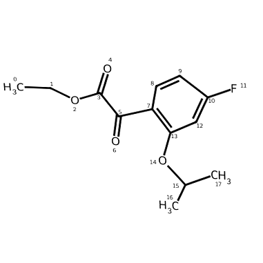 CCOC(=O)C(=O)c1ccc(F)cc1OC(C)C